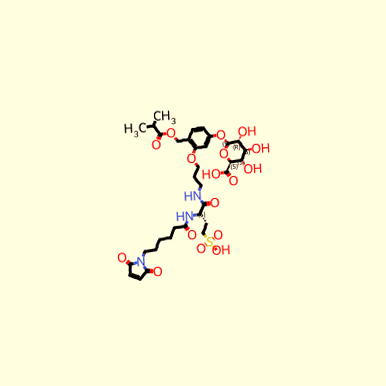 CC(C)C(=O)OCc1ccc(O[C@@H]2O[C@H](C(=O)O)[C@@H](O)[C@H](O)[C@H]2O)cc1OCCCNC(=O)[C@H](CCS(=O)(=O)O)NC(=O)CCCCCN1C(=O)C=CC1=O